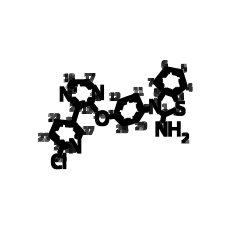 NC1Sc2ccccc2N1c1ccc(Oc2nccnc2-c2ccc(Cl)nc2)cc1